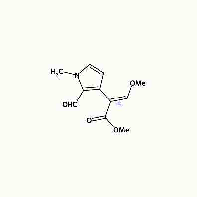 CO/C=C(/C(=O)OC)c1ccn(C)c1C=O